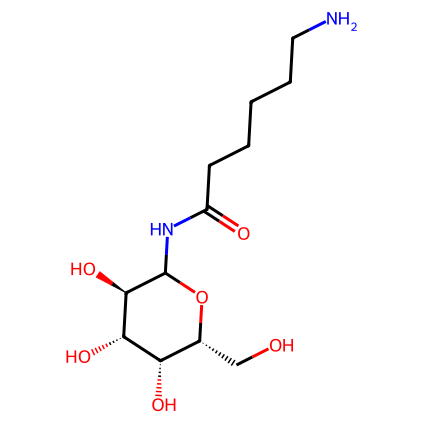 NCCCCCC(=O)NC1O[C@H](CO)[C@H](O)[C@H](O)[C@H]1O